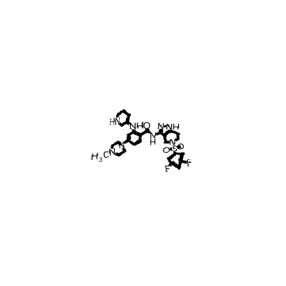 CN1CCN(c2ccc(C(=O)Nc3n[nH]c4c3CN(S(=O)(=O)c3cc(F)cc(F)c3)CC4)c(NC3CCCNC3)c2)CC1